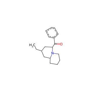 CCC1CC2CCCCN2C(C(=O)c2ccccc2)C1